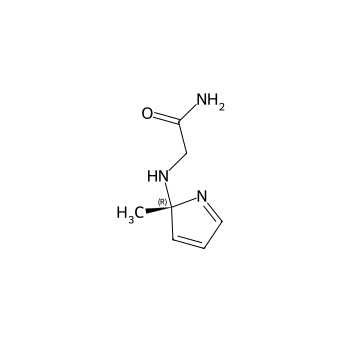 C[C@]1(NCC(N)=O)C=CC=N1